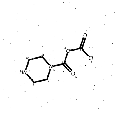 O=C(Cl)OC(=O)N1CCNCC1